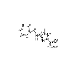 COC(=O)c1n[nH]c(NCc2ccccc2)n1